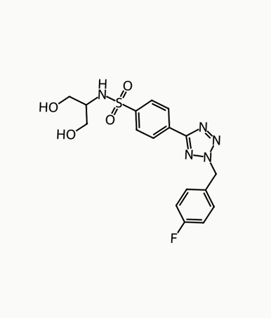 O=S(=O)(NC(CO)CO)c1ccc(-c2nnn(Cc3ccc(F)cc3)n2)cc1